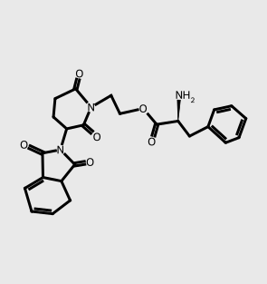 N[C@@H](Cc1ccccc1)C(=O)OCCN1C(=O)CCC(N2C(=O)C3=CC=CCC3C2=O)C1=O